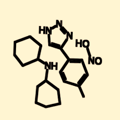 C1CCC(NC2CCCCC2)CC1.Cc1ccc(-c2c[nH]nn2)cc1.O=NO